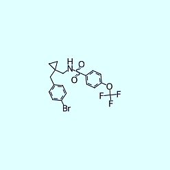 O=S(=O)(NCC1(Cc2ccc(Br)cc2)CC1)c1ccc(OC(F)(F)F)cc1